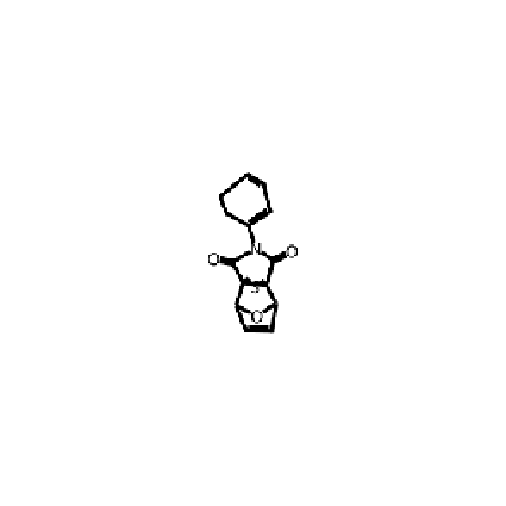 O=C1N(C2=CC=CCC2)C(=O)C23CSCC12C1C=CC3O1